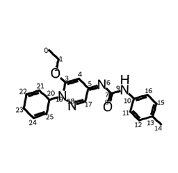 CCOc1cc(=NC(=O)Nc2ccc(C)cc2)cnn1C1C=CCC=C1